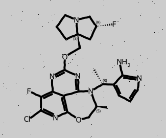 C[C@H](c1cccnc1N)N1c2nc(OC[C@@]34CCCN3C[C@H](F)C4)nc3c(F)c(Cl)nc(c23)OC[C@@H]1C